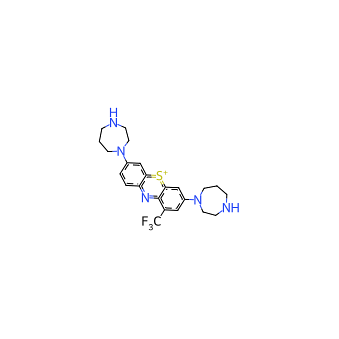 FC(F)(F)c1cc(N2CCCNCC2)cc2[s+]c3cc(N4CCCNCC4)ccc3nc12